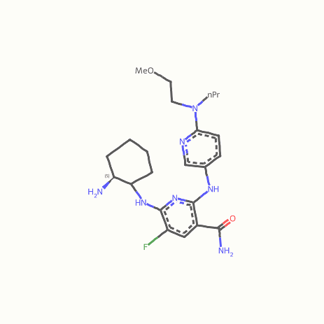 CCCN(CCOC)c1ccc(Nc2nc(NC3CCCC[C@@H]3N)c(F)cc2C(N)=O)cn1